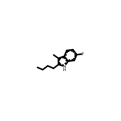 CCCCc1[nH]c2cc(F)ccc2c1C